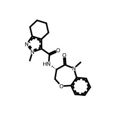 CN1C(=O)[C@@H](NC(=O)c2c3c(nn2C)CCCC3)COc2ccccc21